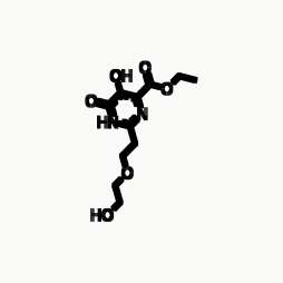 CCOC(=O)c1nc(CCOCCO)[nH]c(=O)c1O